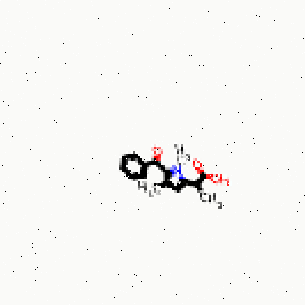 Cc1cc(C(C)C(=O)O)n(C)c1C(=O)c1ccccc1